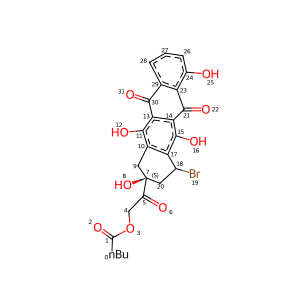 CCCCC(=O)OCC(=O)[C@]1(O)Cc2c(O)c3c(c(O)c2C(Br)C1)C(=O)c1c(O)cccc1C3=O